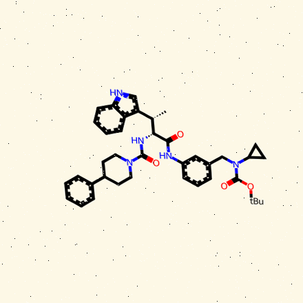 C[C@@H](c1c[nH]c2ccccc12)[C@@H](NC(=O)N1CCC(c2ccccc2)CC1)C(=O)Nc1cccc(CN(C(=O)OC(C)(C)C)C2CC2)c1